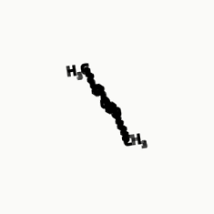 CCCCCCCCCCOc1ccc(OCCCC2CCC(CCCCCCC)CC2)cc1